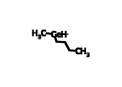 CCC[CH2][GeH][CH3]